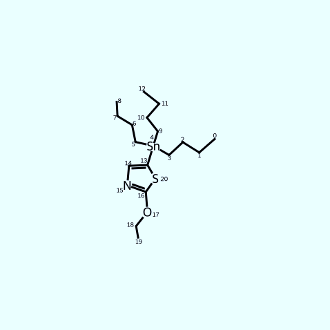 CCC[CH2][Sn]([CH2]CCC)([CH2]CCC)[c]1cnc(OCC)s1